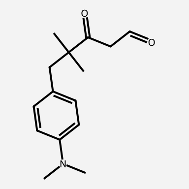 CN(C)c1ccc(CC(C)(C)C(=O)CC=O)cc1